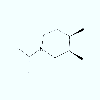 CC(C)N1CC[C@@H](C)[C@@H](C)C1